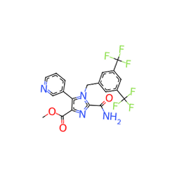 COC(=O)c1nc(C(N)=O)n(Cc2cc(C(F)(F)F)cc(C(F)(F)F)c2)c1-c1cccnc1